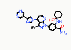 CC(C)c1nn(-c2ccc(C(N)=O)c(NC3(O)CCCCC3)c2)c2nccc(-n3cnc(-c4cncnc4)c3)c12